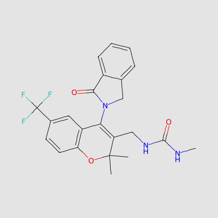 CNC(=O)NCC1=C(N2Cc3ccccc3C2=O)c2cc(C(F)(F)F)ccc2OC1(C)C